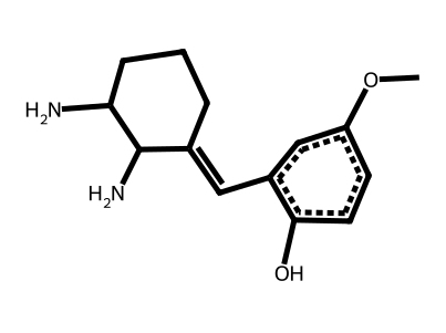 COc1ccc(O)c(C=C2CCCC(N)C2N)c1